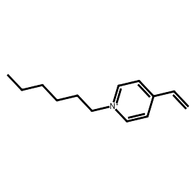 C=Cc1cc[n+](CCCCCC)cc1